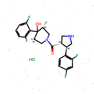 C[C@@H]1CN(C(=O)[C@@H]2CNC[C@H]2c2ccc(F)cc2F)C[C@H](C)C1(O)c1c(F)cccc1F.Cl